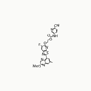 COc1cnc2c(-c3nc4cc(F)c(OCCOC(=O)Nc5ccc(C#N)nc5)nc4s3)cc(C)cc2n1